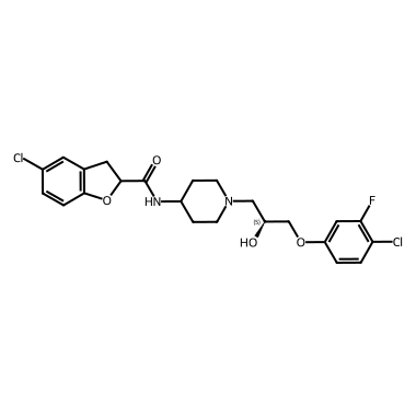 O=C(NC1CCN(C[C@H](O)COc2ccc(Cl)c(F)c2)CC1)C1Cc2cc(Cl)ccc2O1